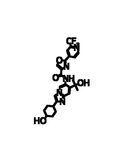 CC(C)(O)c1cc2nc(C3CCC(O)CC3)cn2cc1NC(=O)c1coc(-c2ccnc(C(F)(F)F)c2)n1